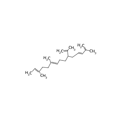 C=C(C)C=CCC(CC/C=C(\C)CC/C(C)=C/C)C(=C)C